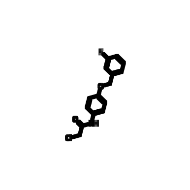 O=C(CCl)Nc1ccc(OCc2cccc(F)c2)cc1